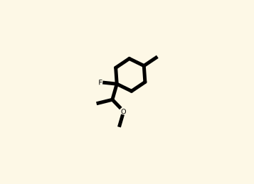 COC(C)C1(F)CCC(C)CC1